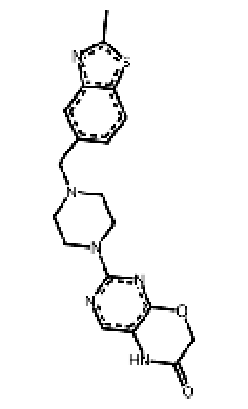 Cc1nc2cc(CN3CCN(c4ncc5c(n4)OCC(=O)N5)CC3)ccc2s1